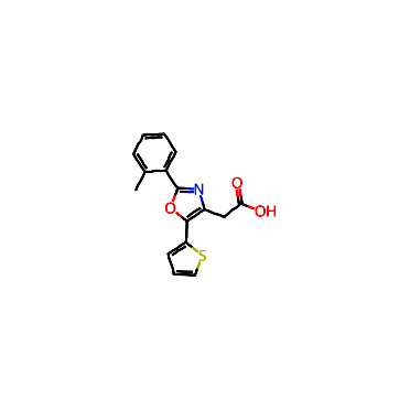 Cc1ccccc1-c1nc(CC(=O)O)c(-c2cccs2)o1